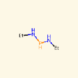 CCNPNCC